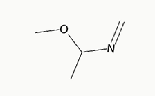 C=NC(C)OC